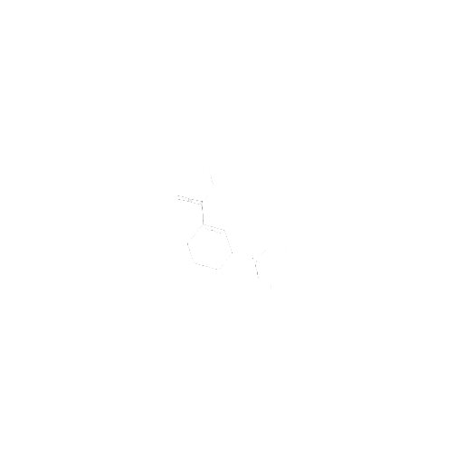 COC(=O)C1=C[C@H](N(C)C)CCC1